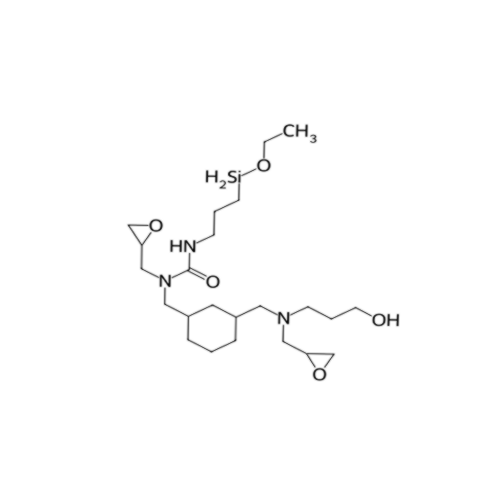 CCO[SiH2]CCCNC(=O)N(CC1CCCC(CN(CCCO)CC2CO2)C1)CC1CO1